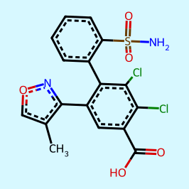 Cc1conc1-c1cc(C(=O)O)c(Cl)c(Cl)c1-c1ccccc1S(N)(=O)=O